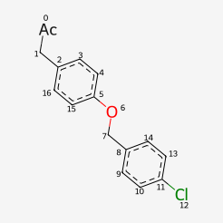 CC(=O)Cc1ccc(OCc2ccc(Cl)cc2)cc1